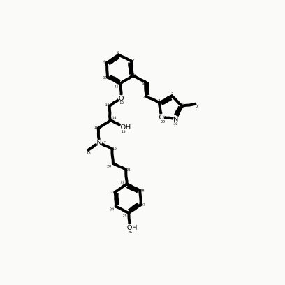 Cc1cc(C=Cc2ccccc2OCC(O)CN(C)CCCc2ccc(O)cc2)on1